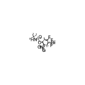 CC(C)(C)NC(=O)Oc1cc(F)c(C(F)(F)F)cc1[N+](=O)[O-]